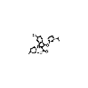 Cc1ccc(-n2c(C(=O)O)c(Oc3cccc(C(C)C)c3)c3ccc(Cl)cc32)cc1